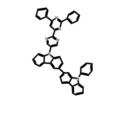 c1ccc(-c2cc(-c3ncc(-n4c5ccccc5c5cc(-c6ccc7c8ccccc8n(-c8ccccc8)c7c6)ccc54)cn3)nc(-c3ccccc3)n2)cc1